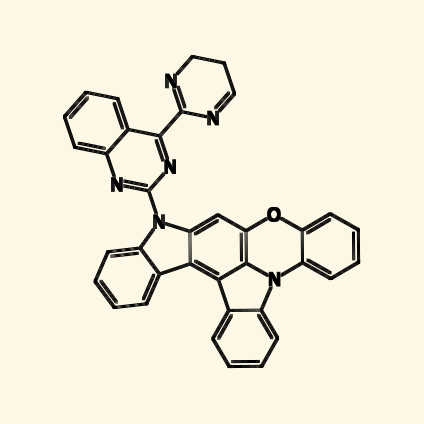 C1=NC(c2nc(-n3c4ccccc4c4c5c6ccccc6n6c5c(cc43)Oc3ccccc3-6)nc3ccccc23)=NCC1